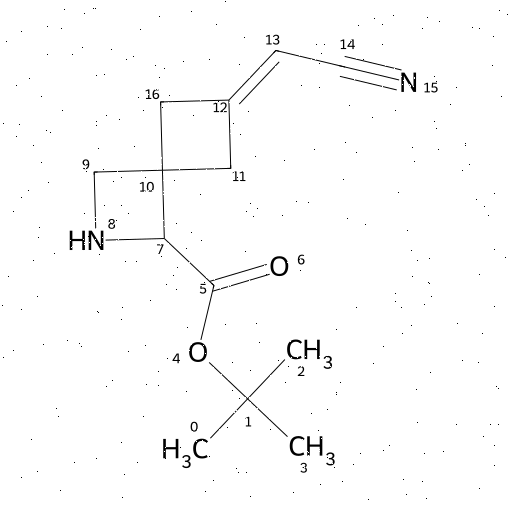 CC(C)(C)OC(=O)C1NCC12CC(=CC#N)C2